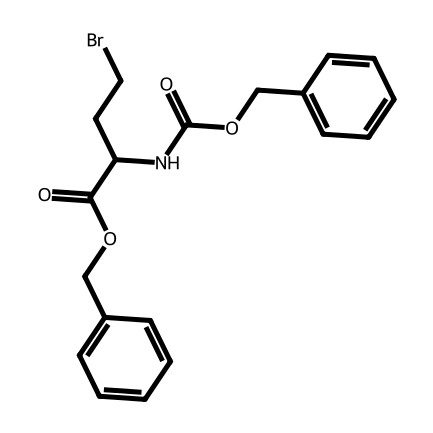 O=C(NC(CCBr)C(=O)OCc1ccccc1)OCc1ccccc1